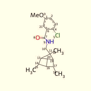 COc1ccc(Cl)c(C(=O)NCC2(C)C3C(C)C4C(C)C2C43)c1